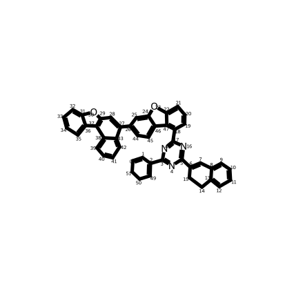 C1=CC(c2nc(C3=Cc4ccccc4CC3)nc(-c3cccc4oc5cc(-c6cc7oc8ccccc8c7c7ccccc67)ccc5c34)n2)=CCC1